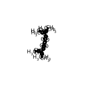 CC(C)(C)c1ccc2c(c1)c1cc(C(C)(C)C)ccc1n2-c1ccc2c(c1)C(=O)N(C1CCC(N3C(=O)c4ccc(-n5c6ccc(C(C)(C)C)cc6c6cc(C(C)(C)C)ccc65)cc4C3=O)CC1)C2=O